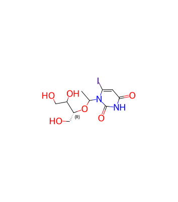 CC(O[C@H](CO)C(O)CO)n1c(I)cc(=O)[nH]c1=O